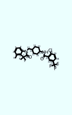 Cc1cccc2c1C(C)(C)C(=O)N2CC1CCC(NC(=O)c2cc(C(F)(F)F)ccc2Cl)CC1